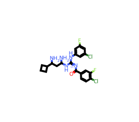 NC(CC(N)C1CCC1)N/C(=N\C(=O)c1ccc(Cl)c(F)c1)Nc1cc(F)cc(Cl)c1